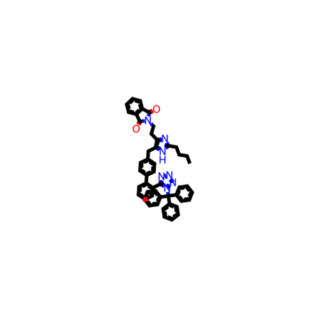 CCCCc1nc(CCN2C(=O)c3ccccc3C2=O)c(Cc2ccc(-c3ccccc3-c3nnnn3C(c3ccccc3)(c3ccccc3)c3ccccc3)cc2)[nH]1